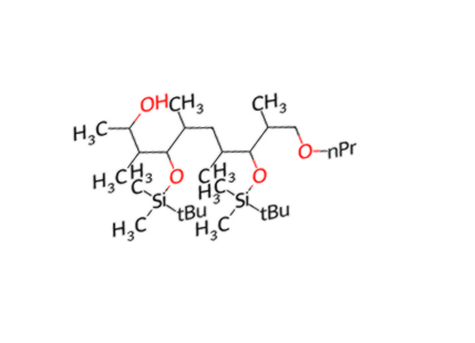 CCCOCC(C)C(O[Si](C)(C)C(C)(C)C)C(C)CC(C)C(O[Si](C)(C)C(C)(C)C)C(C)C(C)O